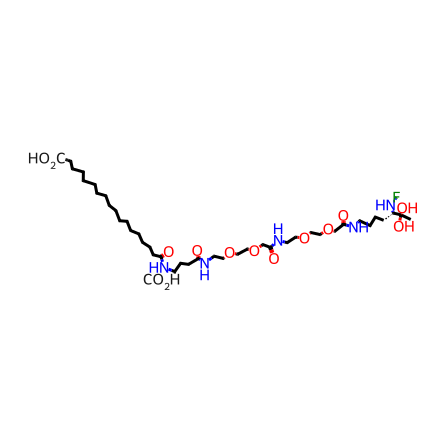 CC(O)(O)[C@H](CCCCNC(=O)COCCOCCNC(=O)COCCOCCNC(=O)CC[C@H](NC(=O)CCCCCCCCCCCCCCCCC(=O)O)C(=O)O)NF